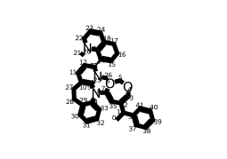 CC(C1=COCOC(N2C3=C(C=C[C@@H](C4=CCCC5=C4N(C)CC=C5)N3C)CCc3ccccc32)=C1)c1ccccc1